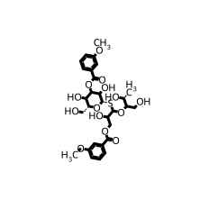 COc1cccc(C(=O)OCC(O)C(OC(CO)[C@@H](C)O)S[C@@H]2O[C@H](CO)C(O)C(OC(=O)c3cccc(OC)c3)C2O)c1